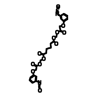 O=C=Nc1cccc(OCC(=O)OCOC(=O)CCCCC(=O)OCOC(=O)COc2cccc(N=C=O)c2)c1